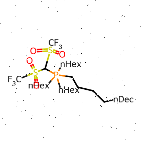 CCCCCCCCCCCCCCP(CCCCCC)(CCCCCC)(CCCCCC)C(S(=O)(=O)C(F)(F)F)S(=O)(=O)C(F)(F)F